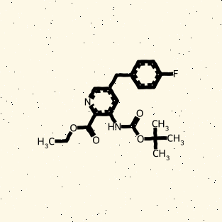 CCOC(=O)c1ncc(Cc2ccc(F)cc2)cc1NC(=O)OC(C)(C)C